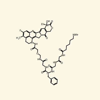 CC[C@@]1(O)C(=O)OCc2c1cc1n(c2=O)Cc2c-1nc1cc(F)c(C)c3c1c2[C@@H](NC(=O)COCNC(=O)CNC(=O)[C@H](Cc1ccccc1)NC(=O)CNC(=O)CNC(=O)CCCCCNC)CC3